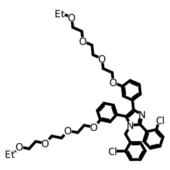 CCOCCOCCOCCOc1cccc(-c2nc(-c3ccccc3Cl)n(Cc3ccccc3Cl)c2-c2cccc(OCCOCCOCCOCC)c2)c1